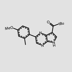 COc1ccc(-c2cnc3[nH]cc(C(=O)C(C)(C)C)c3n2)c(C)c1